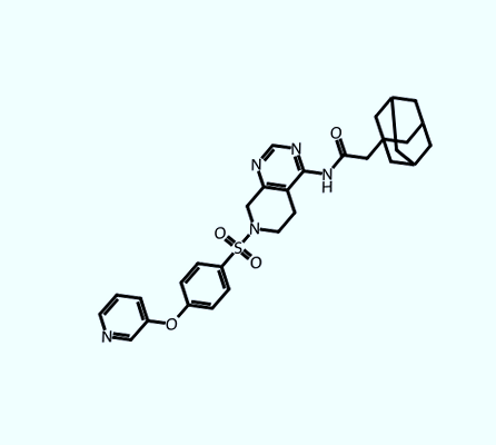 O=C(CC12CC3CC(CC(C3)C1)C2)Nc1ncnc2c1CCN(S(=O)(=O)c1ccc(Oc3cccnc3)cc1)C2